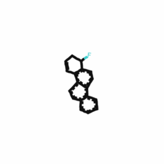 FC1CC=Cc2c1ccc1c2ccc2ccccc21